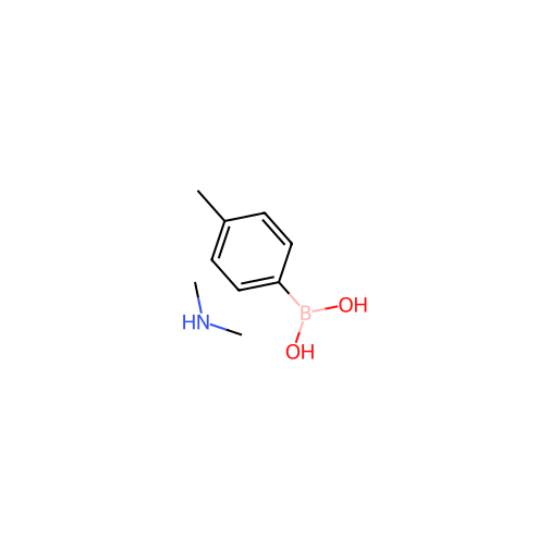 CNC.Cc1ccc(B(O)O)cc1